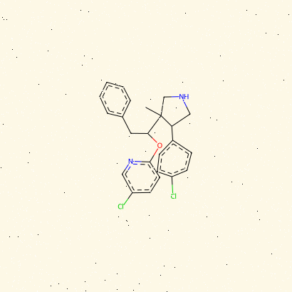 CC1(C(Cc2ccccc2)Oc2ccc(Cl)cn2)CNCC1c1ccc(Cl)cc1